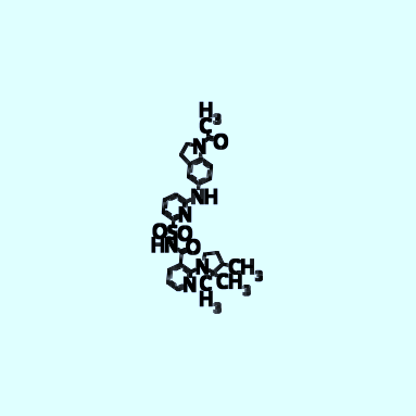 CC(=O)N1CCc2cc(Nc3cccc(S(=O)(=O)NC(=O)c4cccnc4N4CCC(C)C4(C)C)n3)ccc21